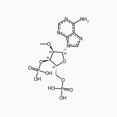 CO[C@@H]1[C@H](OP(=O)(O)O)[C@@H](COP(=O)(O)O)O[C@H]1n1cnc2c(N)ncnc21